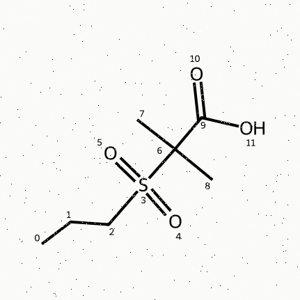 CCCS(=O)(=O)C(C)(C)C(=O)O